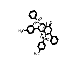 Cc1ccc(C2C[C@H]3[C@@H](CN2S(=O)(=O)c2ccccc2)C(=O)CC(c2ccccc2)N3S(=O)(=O)c2ccc(C)cc2)cc1